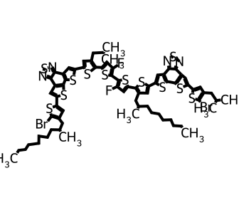 CCCCCCCCC(C)Cc1cc(-c2cc3c4nsnc4c4cc(-c5cc(CC(C)C)c(-c6cc(F)c(-c7sc(-c8sc(-c9cc%10c%11nsnc%11c%11cc(-c%12cc(CC(C)C)c(Br)s%12)sc%11c%10s9)cc8CC(C)CCCCCCCC)cc7F)s6)s5)sc4c3s2)sc1Br